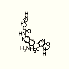 Cc1c(-c2cc3cc(NC(=O)OCC4(F)CNC4)ncc3c(N)c2F)cnc2c1NCCO2